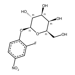 O=[N+]([O-])c1ccc(O[C@@H]2O[C@H](CO)[C@H](O)[C@H](O)[C@H]2O)c(F)c1